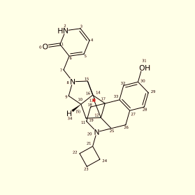 O=c1[nH]cccc1CN1C[C@H]2CC34CCC1C2C31CCN(C2CCC2)C4Cc2ccc(O)cc21